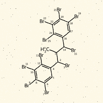 CC(C(Br)c1cc(Br)c(Br)c(Br)c1Br)C(Br)c1cc(Br)c(Br)c(Br)c1Br